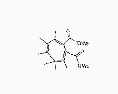 COC(=O)C1=C(C)C(C)=C(C)C(C)(C)C(C)=C1C(=O)OC